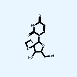 O=c1ccn(C2OC(CO)C(O)[C@]23CCO3)c(=O)[nH]1